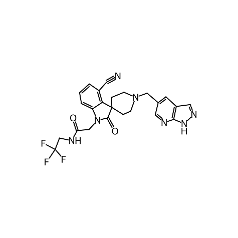 N#Cc1cccc2c1C1(CCN(Cc3cnc4[nH]ncc4c3)CC1)C(=O)N2CC(=O)NCC(F)(F)F